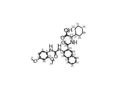 COc1ccc(NC(=O)Nc2cc3ccccc3cc2C(=O)N[C@H](C(=O)O)C2CCCCC2)c(OC)c1